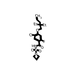 C=CCC(CC)(CC)COc1cc(F)c(C(=O)NS(=O)(=O)N2CCC2)cc1Cl